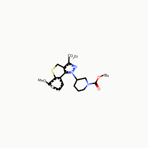 CCOC(=O)c1nn(C2CCCN(C(=O)OC(C)(C)C)C2)c2c1CSc1c(OC)cccc1-2